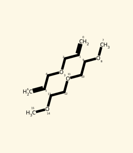 C=CCOCC=C.COCCOCCOC